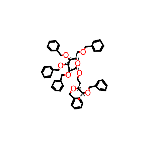 CC[C@@H](OCc1ccccc1)[C@H](CCO[C@H]1O[C@H](COCc2ccccc2)[C@H](OCc2ccccc2)[C@H](OCc2ccccc2)[C@H]1OCc1ccccc1)OCc1ccccc1